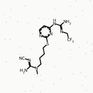 CN(CCCCSc1nccc(NC(N)=NCC(F)(F)F)n1)C(N)=NC#N